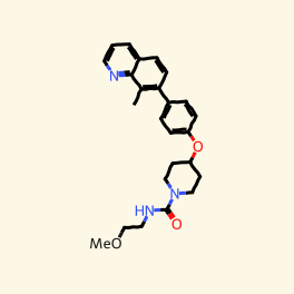 COCCNC(=O)N1CCC(Oc2ccc(-c3ccc4cccnc4c3C)cc2)CC1